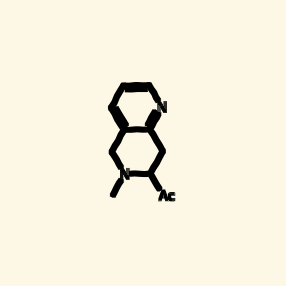 CC(=O)C1Cc2ncccc2CN1C